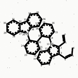 C=Cc1c(/C=C\C)c2ccccc2n1-c1ccccc1-c1ccccc1-n1c2ccccc2c2ccccc21